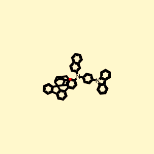 c1ccc2c(c1)-c1cccc(-c3ccc(N(c4ccc(-n5c6ccccc6c6ccccc65)cc4)c4ccc5ccccc5c4)cc3)c1C21C2CC3CC(C2)CC1C3